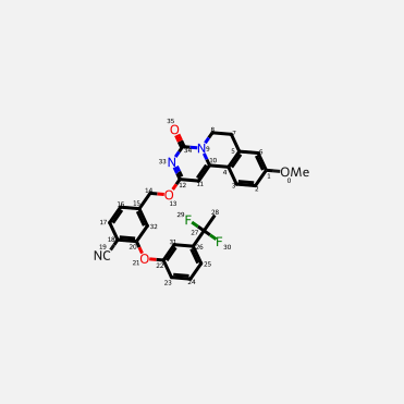 COc1ccc2c(c1)CCn1c-2cc(OCc2ccc(C#N)c(Oc3cccc(C(C)(F)F)c3)c2)nc1=O